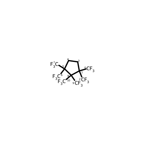 FC(F)(F)C1(C(F)(F)F)CCC(C(F)(F)F)(C(F)(F)F)C1(C(F)(F)F)C(F)(F)F